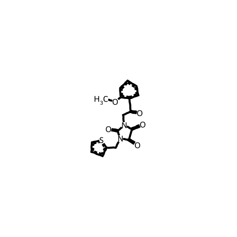 COc1ccccc1C(=O)CN1C(=O)C(=O)N(Cc2cccs2)C1=O